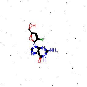 Nc1nc2c(ncn2[C@@H]2O[C@@H](CO)C=C2F)c(=O)[nH]1